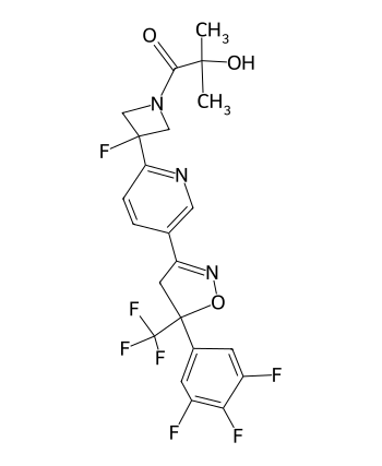 CC(C)(O)C(=O)N1CC(F)(c2ccc(C3=NOC(c4cc(F)c(F)c(F)c4)(C(F)(F)F)C3)cn2)C1